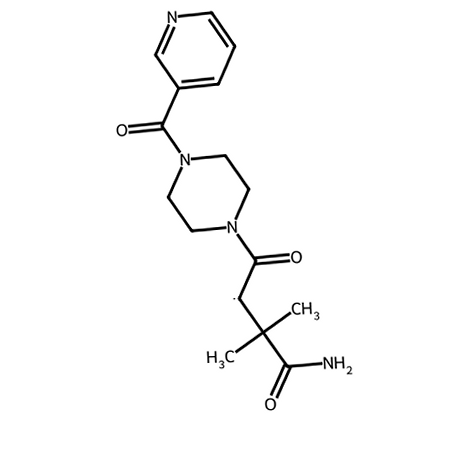 CC(C)([CH]C(=O)N1CCN(C(=O)c2cccnc2)CC1)C(N)=O